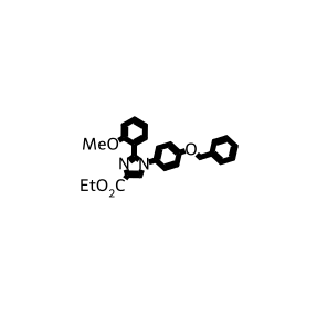 CCOC(=O)c1cn(-c2ccc(OCc3ccccc3)cc2)c(-c2ccccc2OC)n1